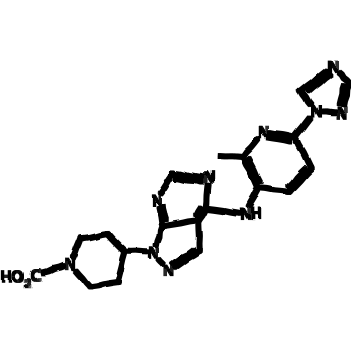 Cc1nc(-n2cncn2)ccc1Nc1ncnc2c1cnn2C1CCN(C(=O)O)CC1